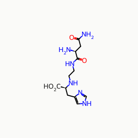 NC(=O)C[C@H](N)C(=O)NCCN[C@@H](Cc1c[nH]cn1)C(=O)O